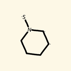 [S]N1[CH][CH]CCC1